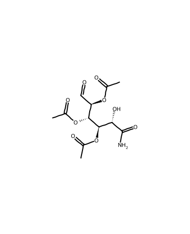 CC(=O)O[C@@H]([C@H](OC(C)=O)[C@@H](C=O)OC(C)=O)[C@H](O)C(N)=O